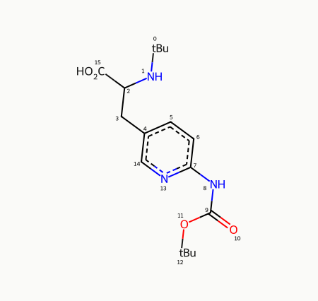 CC(C)(C)NC(Cc1ccc(NC(=O)OC(C)(C)C)nc1)C(=O)O